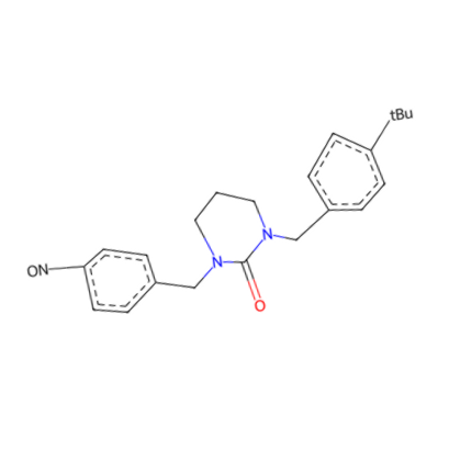 CC(C)(C)c1ccc(CN2CCCN(Cc3ccc(N=O)cc3)C2=O)cc1